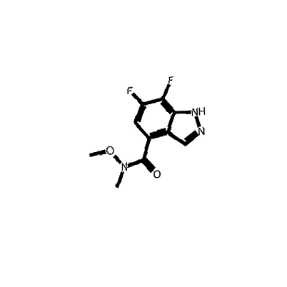 CON(C)C(=O)c1cc(F)c(F)c2[nH]ncc12